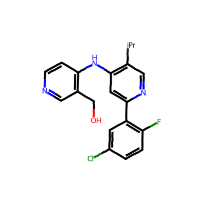 CC(C)c1cnc(-c2cc(Cl)ccc2F)cc1Nc1ccncc1CO